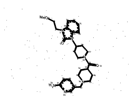 COCCn1c(=O)n(C2CCN(C(=O)C3CCN(Cc4ccc(N)nc4)CC3)CC2)c2ccccc21